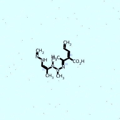 C=C/C=C(C(=O)O)\C(C)=N\N(C)N(C)/C(C)=C\NN=C